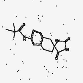 CC(C)(C)C(=O)Nc1ccc2c(c1)CCC1(C2)NC(=O)NC1=O